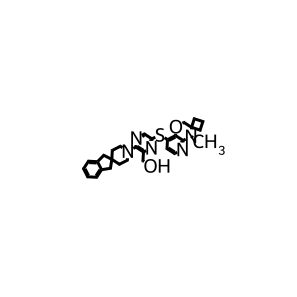 CN1c2nccc(Sc3cnc(N4CCC5(CC4)Cc4ccccc4C5)c(CO)n3)c2OCC12CCC2